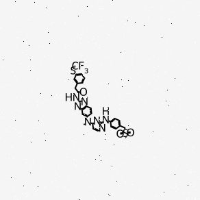 CN(c1ccc2c(c1)nc(NC(=O)Cc1cccc(SC(F)(F)F)c1)n2C)c1ccnc(Nc2ccc(CS(C)(=O)=O)cc2)n1